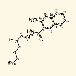 CC(C)CCCC(C)C=NNC(=O)c1cc2ccccc2cc1O